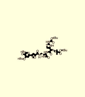 CCCCOc1cnc(-c2cc(C(=O)NC[C@H]3NC(=O)[C@H]3NC(=O)/C(=N\OC(C)(C)C(=O)OC(C)(C)C)C3=CSC(NC(=O)OC(C)(C)C)N3)on2)cc1OCCCC